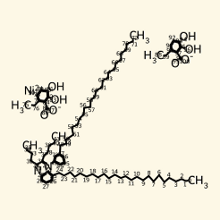 CCCCCCCCCCCCCCCCCCCCCCCCCc1cccc(N=C(CCCC)C(CCCCC)=Nc2cccc(CCCCCCCCCCCCCCCCCCCCCCCCC)c2)c1.CCc1ccc(O)c(O)c1C(=O)[O-].CCc1ccc(O)c(O)c1C(=O)[O-].[Ni+2]